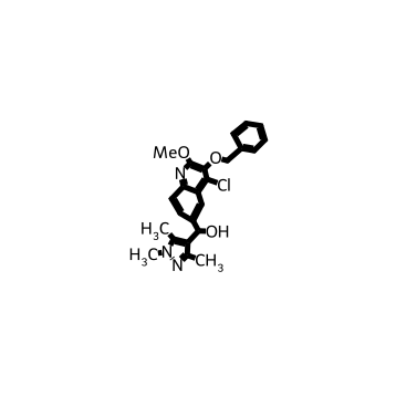 COc1nc2ccc(C(O)c3c(C)nn(C)c3C)cc2c(Cl)c1OCc1ccccc1